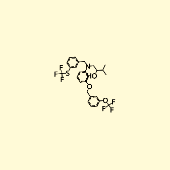 CC(C)C(O)CN(Cc1cccc(SC(F)(F)F)c1)c1cccc(OCc2cccc(OC(F)(F)F)c2)c1